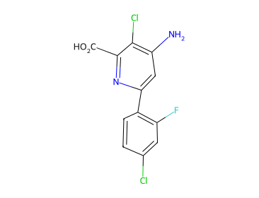 Nc1cc(-c2ccc(Cl)cc2F)nc(C(=O)O)c1Cl